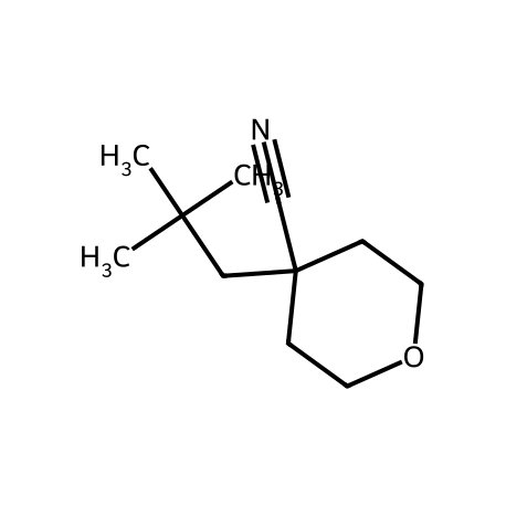 CC(C)(C)CC1(C#N)CCOCC1